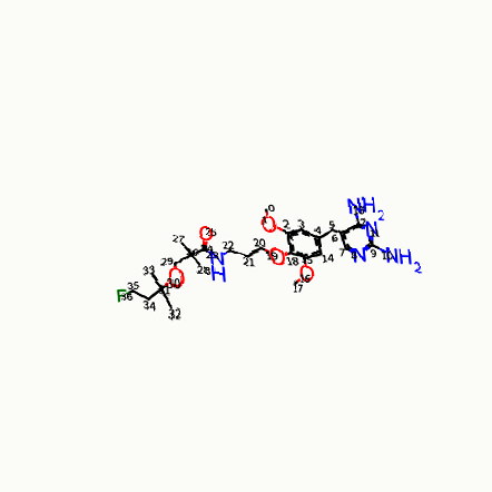 COc1cc(Cc2cnc(N)nc2N)cc(OC)c1OCCCNC(=O)C(C)(C)COC(C)(C)CCF